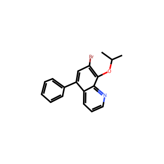 CC(C)Oc1c(Br)cc(-c2ccccc2)c2cccnc12